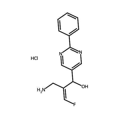 Cl.NC/C(=C/F)C(O)c1cnc(-c2ccccc2)nc1